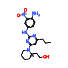 CCCc1cc(N2CCCC[C@@H]2CCO)nc(Nc2ccc(N)c([N+](=O)[O-])c2)n1